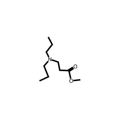 CCCN(CCC)CCC(=O)OC